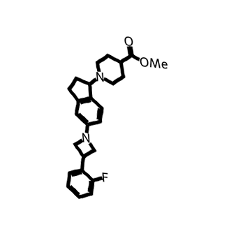 COC(=O)C1CCN(C2CCc3cc(N4CC(c5ccccc5F)C4)ccc32)CC1